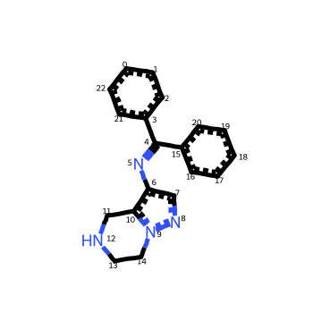 c1ccc(C(=Nc2cnn3c2CNCC3)c2ccccc2)cc1